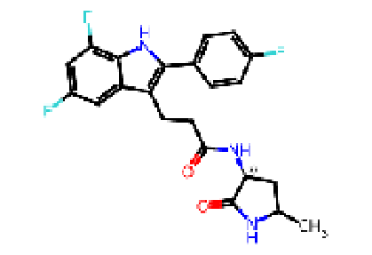 CC1C[C@H](NC(=O)CCc2c(-c3ccc(F)cc3)[nH]c3c(F)cc(F)cc23)C(=O)N1